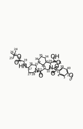 COc1ccc(S(=O)(=O)N(CCC(=O)N2CCC(NCC(=O)OC(C)(C)C)CC2)C(C(=O)O)C2CCCCC2)cc1